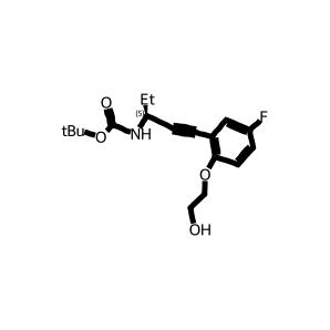 CC[C@@H](C#Cc1cc(F)ccc1OCCO)NC(=O)OC(C)(C)C